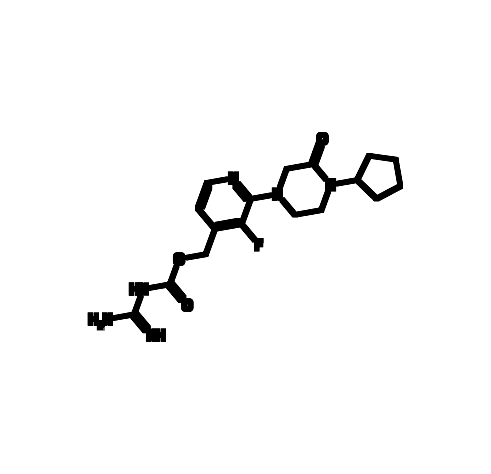 N=C(N)NC(=O)OCc1ccnc(N2CCN(C3CCCC3)C(=O)C2)c1F